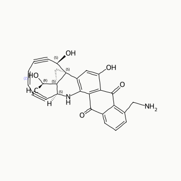 C[C@@H](O)[C@@]12C[C@]13c1cc(O)c4c(c1N[C@H]2C#C/C=C\C#C[C@H]3O)C(=O)c1cccc(CN)c1C4=O